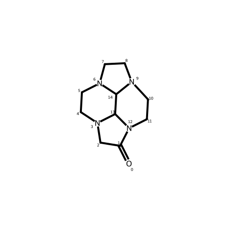 O=C1CN2CCN3CCN4CCN1C2C34